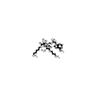 CCCCCCOC(=O)C(C)(C)N[P@@](=O)(CO[C@H](C)Cn1cnc2c(N)ncnc21)N[C@H](C)C(=O)OCCCC